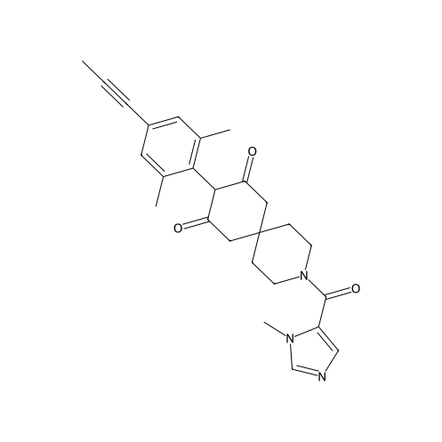 CC#Cc1cc(C)c(C2C(=O)CC3(CCN(C(=O)c4cncn4C)CC3)CC2=O)c(C)c1